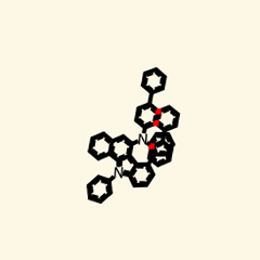 c1ccc(-c2ccc(N(c3ccccc3-c3ccccc3)c3cc4ccccc4c4c3c3c(-c5ccccc5)cccc3n4-c3ccccc3)cc2)cc1